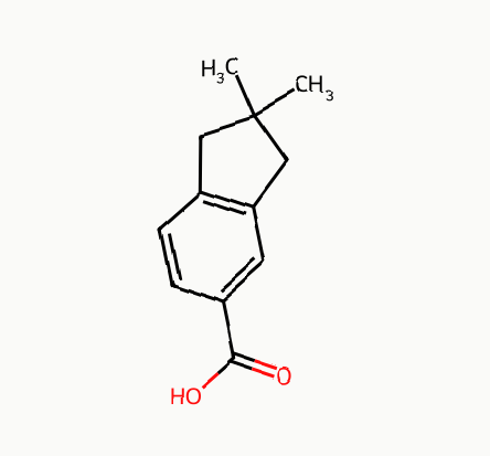 CC1(C)Cc2ccc(C(=O)O)cc2C1